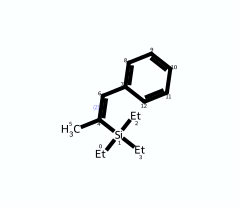 CC[Si](CC)(CC)/C(C)=C\c1ccccc1